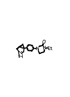 CCN1CCN(c2ccc(C34CNCC3C4)cc2)CC1=O